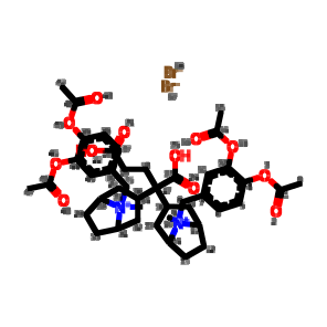 CC(=O)Oc1ccc(C[N+]2(C)C3CCC2CC(C(CCC(=O)O)(C(=O)O)C2CC4CCC(C2)[N+]4(C)Cc2ccc(OC(C)=O)c(OC(C)=O)c2)C3)cc1OC(C)=O.[Br-].[Br-]